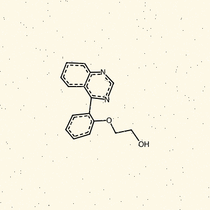 OCCOc1ccccc1-c1ncnc2ccccc12